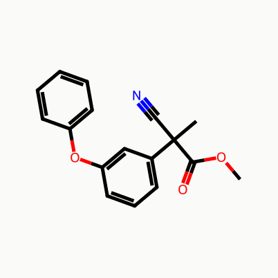 COC(=O)C(C)(C#N)c1cccc(Oc2ccccc2)c1